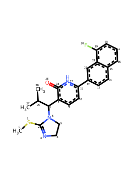 CSC1=NCCN1C(c1ccc(-c2ccc3cccc(F)c3c2)[nH]c1=O)C(C)C